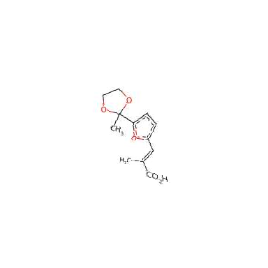 CC(=Cc1ccc(C2(C)OCCO2)o1)C(=O)O